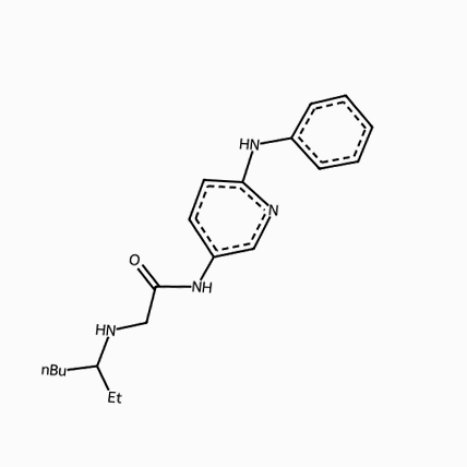 CCCCC(CC)NCC(=O)Nc1ccc(Nc2ccccc2)nc1